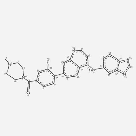 CN1CCN(C(=O)c2ccc(-c3ccc4c(Nc5ccc6scnc6c5)ccnc4c3)c(F)c2)CC1